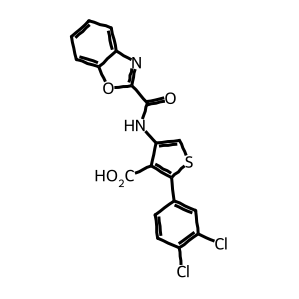 O=C(Nc1csc(-c2ccc(Cl)c(Cl)c2)c1C(=O)O)c1nc2ccccc2o1